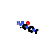 CC(C)N1CCC(N2C[C@H](C)[C@H](N)C2=O)CC1